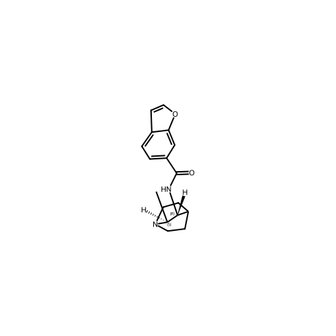 C[C@H]1[C@H](NC(=O)c2ccc3ccoc3c2)C2CCN1CC2